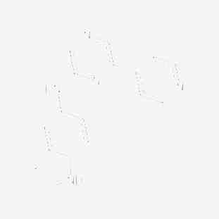 c1cc(-c2cncc(Nc3ccc4[nH]ccc4c3)n2)ccn1